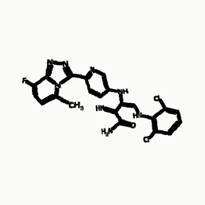 Cc1ccc(F)c2nnc(-c3ccc(N/C(=C/Nc4c(Cl)cccc4Cl)C(=N)C(N)=O)cn3)n12